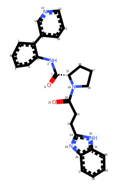 O=C(Nc1ccccc1-c1cccnc1)[C@@H]1CCCN1C(=O)CCc1nc2ccccc2[nH]1